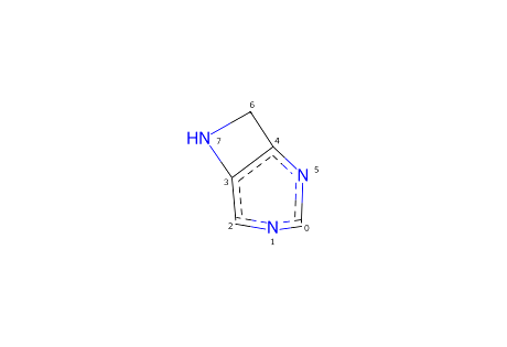 c1ncc2c(n1)CN2